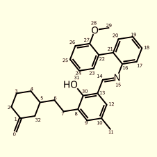 C=C1CCCC(CCc2cc(C)cc(/C=N/c3ccccc3-c3ccccc3OC)c2O)C1